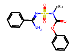 CCCCN(C(=O)Oc1ccccc1)S(=O)(=O)N=C(N)c1ccccc1